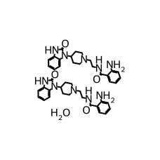 Nc1ccccc1C(=O)NCCN1CCC(n2c(=O)[nH]c3ccccc32)CC1.Nc1ccccc1C(=O)NCCN1CCC(n2c(=O)[nH]c3ccccc32)CC1.O